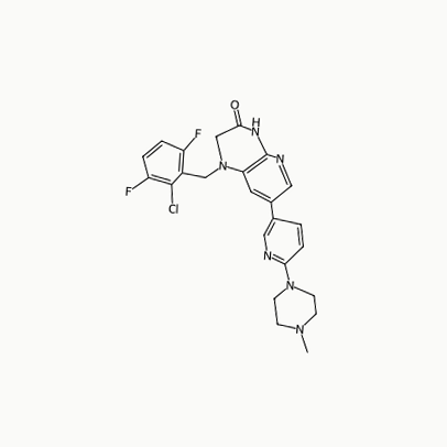 CN1CCN(c2ccc(-c3cnc4c(c3)N(Cc3c(F)ccc(F)c3Cl)CC(=O)N4)cn2)CC1